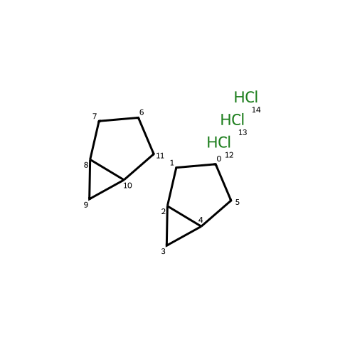 C1CC2CC2C1.C1CC2CC2C1.Cl.Cl.Cl